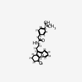 CN(C)c1ccc(CC(=O)NCCc2c3c(n4ccccc24)C(=O)CCC3)cc1